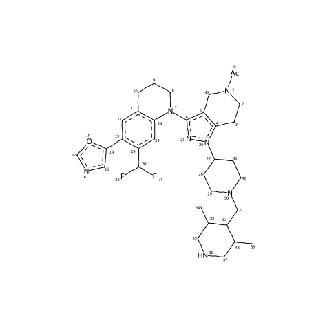 CC(=O)N1CCc2c(c(N3CCCc4cc(-c5cnco5)c(C(F)F)cc43)nn2C2CCN(CC3C(C)CNCC3C)CC2)C1